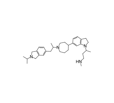 CNCCC(C)N1CCc2ccc(C3CCCN(C(C)Cc4ccc5c(c4)CN(C(C)C)C5)CC3)cc21